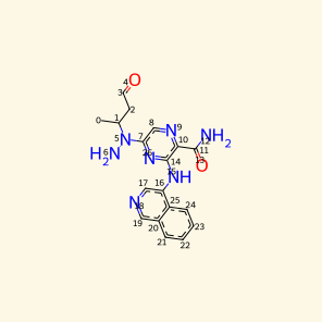 CC(CC=O)N(N)c1cnc(C(N)=O)c(Nc2cncc3ccccc23)n1